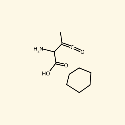 C1CCCCC1.CC(=C=O)C(N)C(=O)O